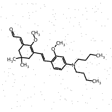 CCCCN(CCCC)c1ccc(C=CC2=C(OC)C(=CC=O)CC(C)(C)C2)c(OC)c1